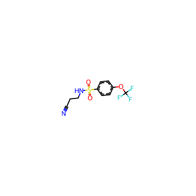 N#CCCNS(=O)(=O)c1ccc(OC(F)(F)F)cc1